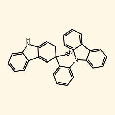 N#CC1(c2ccccc2-n2c3ccccc3c3ccccc32)C=c2c([nH]c3ccccc23)=CC1